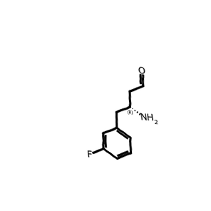 N[C@@H](CC=O)Cc1cccc(F)c1